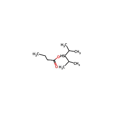 [CH2]CCC(=O)O[SiH](C(C)C)C(C)C